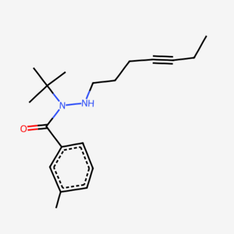 CCC#CCCCNN(C(=O)c1cccc(C)c1)C(C)(C)C